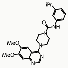 COc1cc2ncnc(N3CCN(C(=O)Nc4cccc(C(C)C)c4)CC3)c2cc1OC